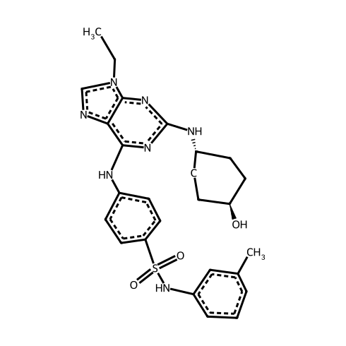 CCn1cnc2c(Nc3ccc(S(=O)(=O)Nc4cccc(C)c4)cc3)nc(N[C@H]3CC[C@H](O)CC3)nc21